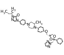 CCC(C)n1ncn(-c2ccc(N3CCN(c4ccc(OC[C@@H]5CO[C@@](Cn6nccn6)(c6ccccc6)O5)cc4)C(C)C3)cc2)c1=O